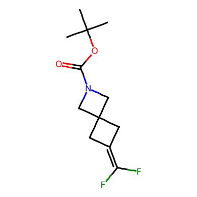 CC(C)(C)OC(=O)N1CC2(CC(=C(F)F)C2)C1